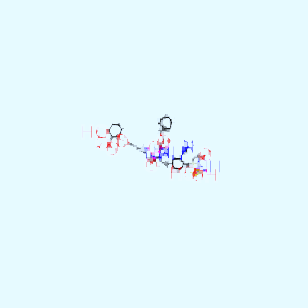 COC(=O)c1c(O)cccc1OCCCCNC(=O)[C@H](Cc1ccc(C2CC(=O)NS2(O)O)c(C#N)c1)NC(=O)OCc1ccccc1